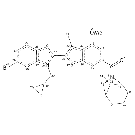 COc1cc(C(=O)N2CC3CCCC2C3C)cc2sc(-c3cc4ccc(Br)cc4n3CC3CC3)c(C)c12